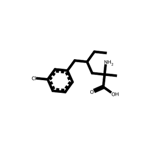 CCC(Cc1cccc(Cl)c1)CC(C)(N)C(=O)O